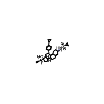 C#CC(F)(F)[C@]1(O)CC[C@H]2[C@@H]3CCC4=C/C(=N/NS(=O)(=O)C5CC5)CCC4=C3[C@H](c3ccc(C4CC4)cc3)C[C@@]21C